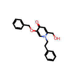 O=c1cc(CO)n(CCc2ccccc2)cc1OCc1ccccc1